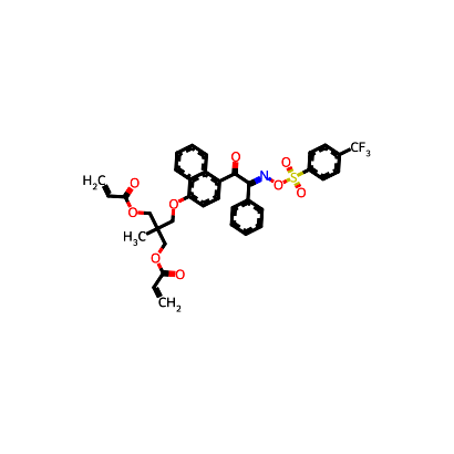 C=CC(=O)OCC(C)(COC(=O)C=C)COc1ccc(C(=O)/C(=N/OS(=O)(=O)c2ccc(C(F)(F)F)cc2)c2ccccc2)c2ccccc12